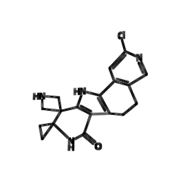 O=C1NC2(CC2)C2(CNC2)c2[nH]c3c(c21)CCc1cnc(Cl)cc1-3